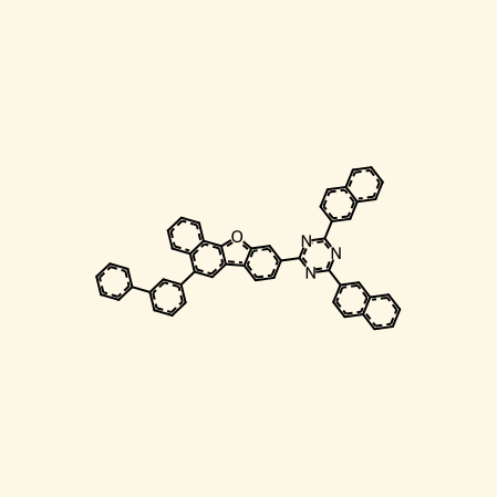 c1ccc(-c2cccc(-c3cc4c5ccc(-c6nc(-c7ccc8ccccc8c7)nc(-c7ccc8ccccc8c7)n6)cc5oc4c4ccccc34)c2)cc1